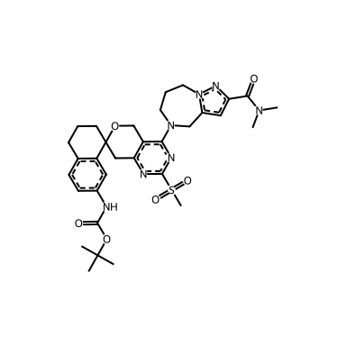 CN(C)C(=O)c1cc2n(n1)CCCN(c1nc(S(C)(=O)=O)nc3c1COC1(CCCc4ccc(NC(=O)OC(C)(C)C)cc41)C3)C2